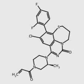 C=CC(=O)N1CCN(c2nc(=O)n3c4c(c(-c5ccc(F)cc5F)c(Cl)cc24)SCCC3)[C@@H](C)C1